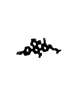 COc1cc(-c2ccc(O)cc2)c(OC)c(C(=O)O)c1-c1ccc(OCC=C(C)C)c(F)c1